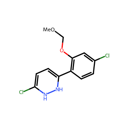 COCOc1cc(Cl)ccc1C1=CC=C(Cl)NN1